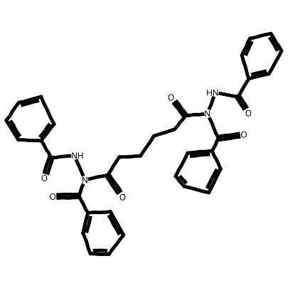 O=C(NN(C(=O)CCCCC(=O)N(NC(=O)c1ccccc1)C(=O)c1ccccc1)C(=O)c1ccccc1)c1ccccc1